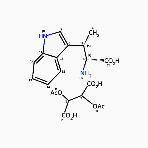 CC(=O)OC(C(=O)O)C(OC(C)=O)C(=O)O.C[C@@H](c1c[nH]c2ccccc12)[C@@H](N)C(=O)O